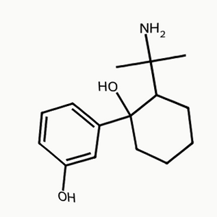 CC(C)(N)C1CCCCC1(O)c1cccc(O)c1